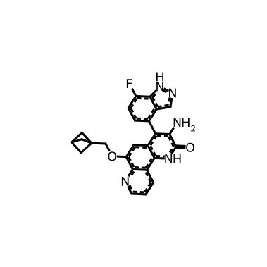 Nc1c(-c2ccc(F)c3[nH]ncc23)c2cc(OCC34CC(C3)C4)c3ncccc3c2[nH]c1=O